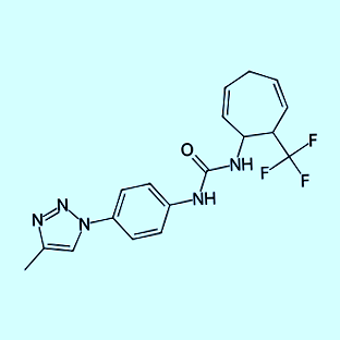 Cc1cn(-c2ccc(NC(=O)NC3C=CCC=CC3C(F)(F)F)cc2)nn1